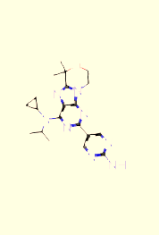 CC(C)N(c1nc(-c2cnc(N)nc2)nc2c1nc1n2CCOC1(C)C)C1CC1